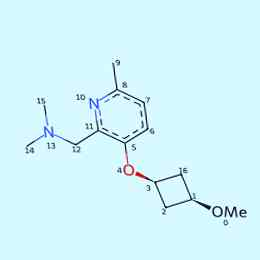 CO[C@H]1C[C@@H](Oc2ccc(C)nc2CN(C)C)C1